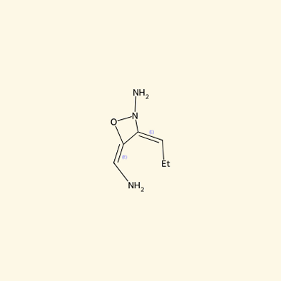 CC/C=c1\c(=C/N)on1N